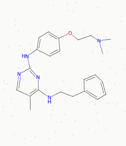 Cc1cnc(Nc2ccc(OCCN(C)C)cc2)nc1NCCc1ccccc1